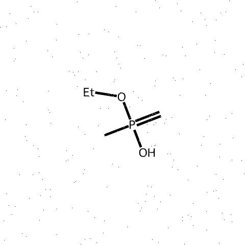 C=P(C)(O)OCC